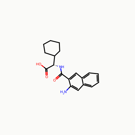 Nc1cc2ccccc2cc1C(=O)N[C@H](C(=O)O)C1CCCCC1